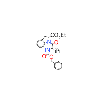 CCOC(=O)C1Cc2ccccc2N1C(=O)C(NC(=O)OCc1ccccc1)C(C)C